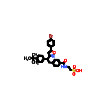 CC(C)(C)c1ccc(C(Cc2ccc(C(=O)NCCS(=O)(=O)O)cc2)c2cc(-c3ccc(Br)cc3)on2)cc1